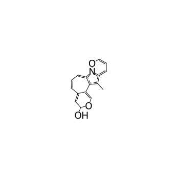 Cc1c2c(n3c1=CC=CO3)=CC=CC1=CC(O)OC=C12